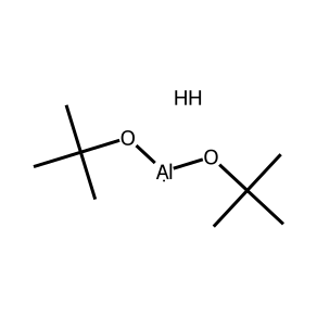 CC(C)(C)[O][Al][O]C(C)(C)C.[HH]